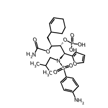 CC(C)CN([C@H](c1ccco1)[C@@H](OP(=O)(O)O)[C@H](CC1C=CCCC1)OC(N)=O)S(=O)(=O)c1ccc(N)cc1